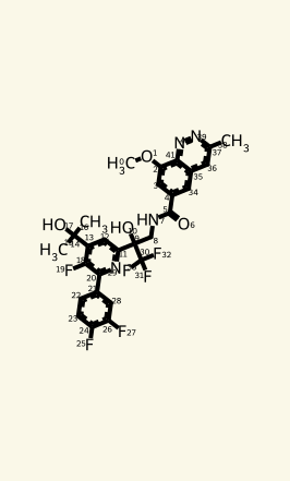 COc1cc(C(=O)NCC(O)(c2cc(C(C)(C)O)c(F)c(-c3ccc(F)c(F)c3)n2)C(F)(F)F)cc2cc(C)nnc12